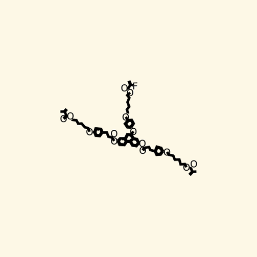 C=C(C)C(=O)OCCCCCCOc1ccc(CCC(=O)Oc2ccc3c(c2)cc(Oc2ccc(OCCCCCCOC(=O)C(=C)F)cc2)c2cc(OC(=O)CCc4ccc(OCCCCCCOC(=O)C(=C)C)cc4)ccc23)cc1